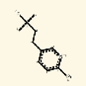 CC(C)c1ccc(CCC(C)(C)F)cn1